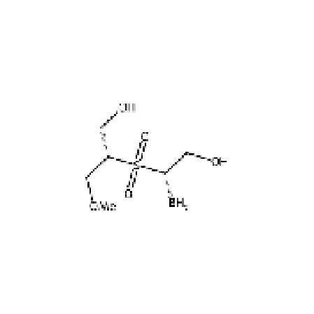 B[C@@H](CO)S(=O)(=O)[C@@H](CO)COC